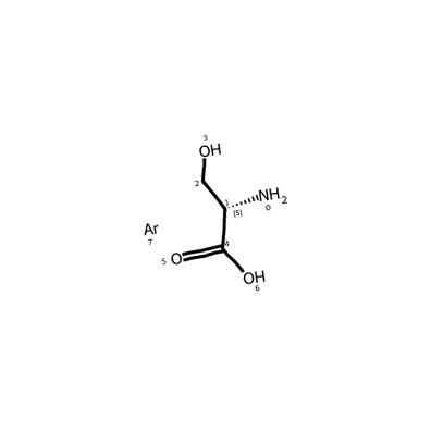 N[C@@H](CO)C(=O)O.[Ar]